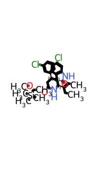 CC=C(CC)[C@H]1NC(=O)C[C@@H](c2cccc(Cl)c2)[C@]12C(=O)Nc1cc(Cl)ccc12.COC(C)[Si](C)(C)C